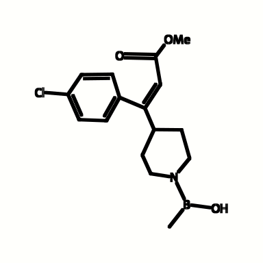 COC(=O)/C=C(\c1ccc(Cl)cc1)C1CCN(B(C)O)CC1